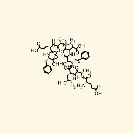 CC(C)C[C@H](NC(=O)[C@H](C)NC(=O)[C@@H](N)CCC(=O)O)C(=O)N[C@@H](CSc1ccccc1)[C@@H](O)C(=O)N[C@H](C(=O)N[C@@H](C)C(=O)N[C@@H](CCC(=O)O)C(=O)N[C@@H](Cc1ccccc1)C(=O)O)C(C)C(=O)O